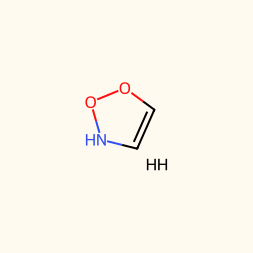 C1=COON1.[HH]